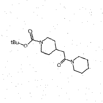 CC(C)(C)OC(=O)N1CCC(CC(=O)N2CC[CH]CC2)CC1